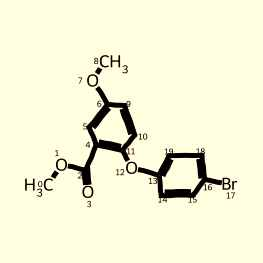 COC(=O)c1cc(OC)ccc1Oc1ccc(Br)cc1